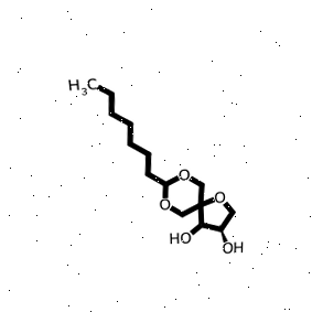 CCCCCCCC1OCC2(CO1)OC[C@@H](O)C2O